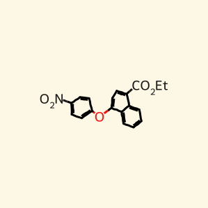 CCOC(=O)c1ccc(Oc2ccc([N+](=O)[O-])cc2)c2ccccc12